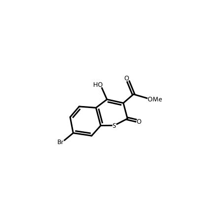 COC(=O)c1c(O)c2ccc(Br)cc2sc1=O